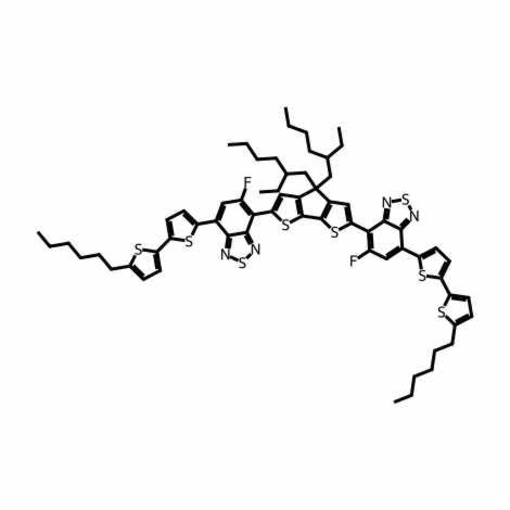 CCCCCCc1ccc(-c2ccc(-c3cc(F)c(-c4cc5c(s4)-c4sc(-c6c(F)cc(-c7ccc(-c8ccc(CCCCCC)s8)s7)c7nsnc67)cc4C5(CC(CC)CCCC)CC(CC)CCCC)c4nsnc34)s2)s1